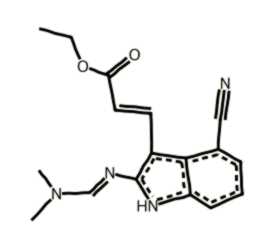 CCOC(=O)C=Cc1c(N=CN(C)C)[nH]c2cccc(C#N)c12